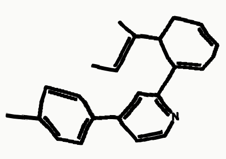 CC=C(C)C1CC=CC=C1c1cc(-c2ccc(C)cc2)ccn1